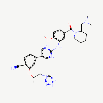 COc1ccc(C(=O)N2CCCCC2CN(C)C)cc1Nc1ncc(-c2ccc(C#N)c(O[C@@H](C)Cn3cnnn3)c2)cn1